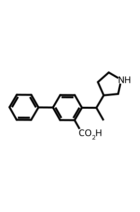 CC(c1ccc(-c2ccccc2)cc1C(=O)O)C1CCNC1